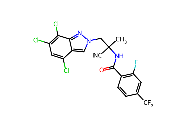 CC(C#N)(Cn1cc2c(Cl)cc(Cl)c(Cl)c2n1)NC(=O)c1ccc(C(F)(F)F)cc1F